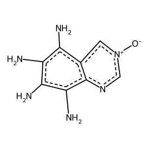 Nc1c(N)c(N)c2nc[n+]([O-])cc2c1N